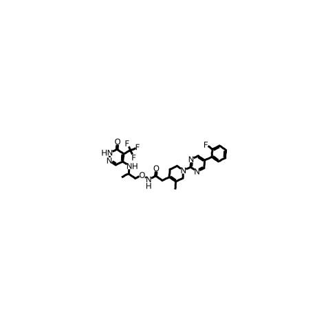 CC1=C(CC(=O)NOCC(C)Nc2cn[nH]c(=O)c2C(F)(F)F)CCN(c2ncc(-c3ccccc3F)cn2)C1